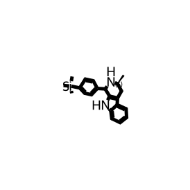 C[C@H]1Cc2c([nH]c3ccccc23)C(c2ccc([Si](C)(C)C)cc2)N1